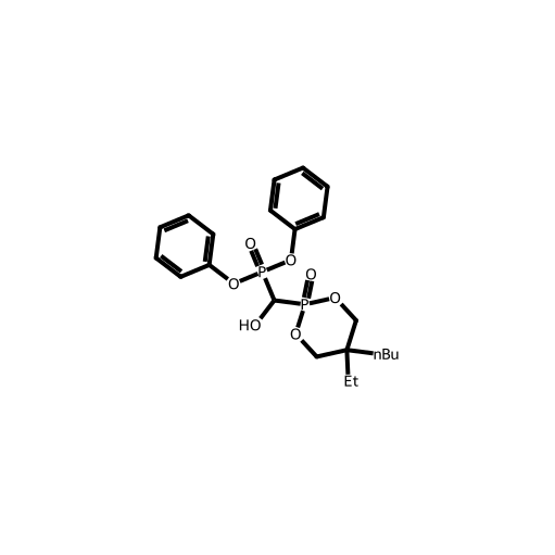 CCCCC1(CC)COP(=O)(C(O)P(=O)(Oc2ccccc2)Oc2ccccc2)OC1